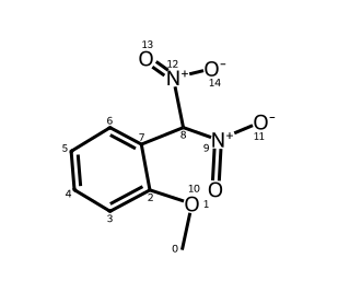 COc1ccccc1C([N+](=O)[O-])[N+](=O)[O-]